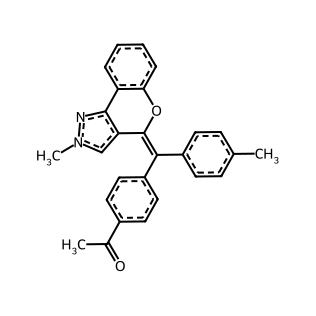 CC(=O)c1ccc(/C(=C2/Oc3ccccc3-c3nn(C)cc32)c2ccc(C)cc2)cc1